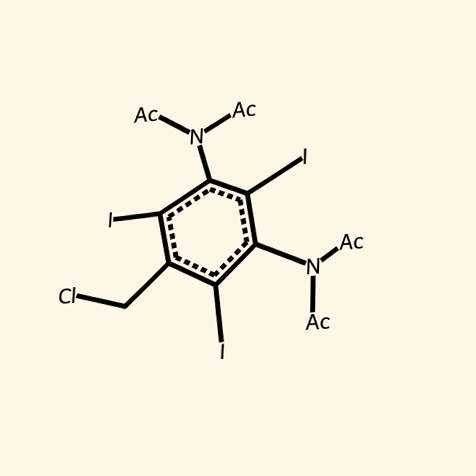 CC(=O)N(C(C)=O)c1c(I)c(CCl)c(I)c(N(C(C)=O)C(C)=O)c1I